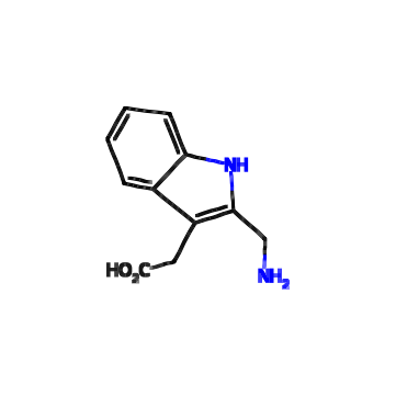 NCc1[nH]c2ccccc2c1CC(=O)O